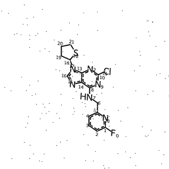 Fc1cccc(CNc2nc(Cl)nc3c2ncn3[C@H]2CCCS2)n1